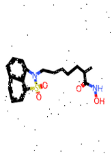 CC(CCCCCN1c2cccc3cccc(c23)S1(=O)=O)C(=O)NO